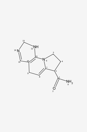 NC(=O)C1CCN2C1=CCC1=C2NCN=C1